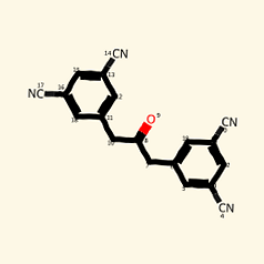 N#Cc1cc(C#N)cc(CC(=O)Cc2cc(C#N)cc(C#N)c2)c1